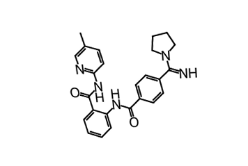 Cc1ccc(NC(=O)c2ccccc2NC(=O)c2ccc(C(=N)N3CCCC3)cc2)nc1